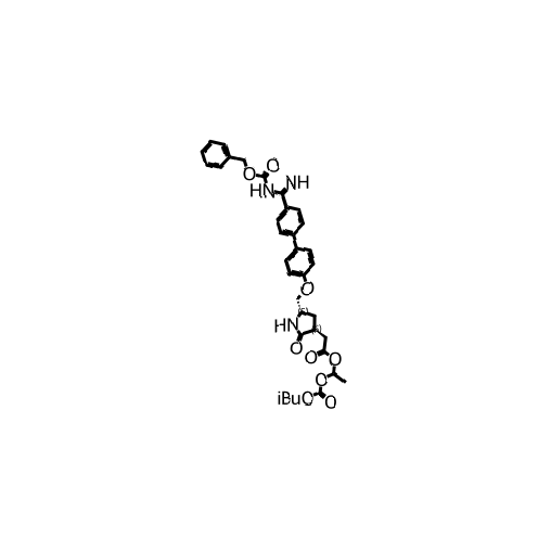 CC(C)COC(=O)OC(C)OC(=O)C[C@@H]1C[C@@H](COc2ccc(-c3ccc(C(=N)NC(=O)OCc4ccccc4)cc3)cc2)NC1=O